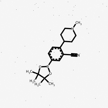 CN1CCC(c2ccc(B3OC(C)(C)C(C)(C)O3)cc2C#N)CC1